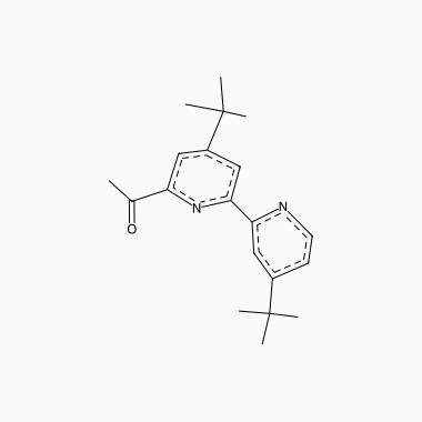 CC(=O)c1cc(C(C)(C)C)cc(-c2cc(C(C)(C)C)ccn2)n1